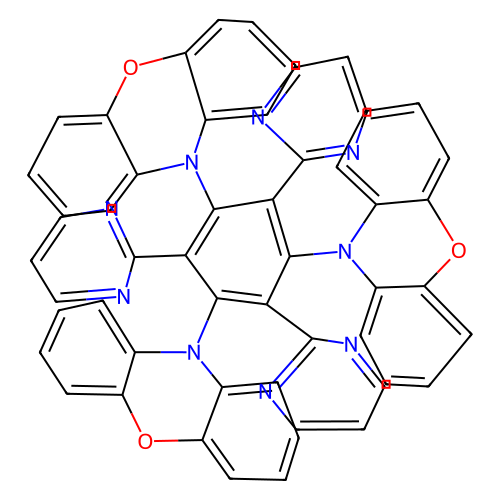 c1cnc(-c2c(N3c4ccccc4Oc4ccccc43)c(-c3ncccn3)c(N3c4ccccc4Oc4ccccc43)c(-c3ncccn3)c2N2c3ccccc3Oc3ccccc32)nc1